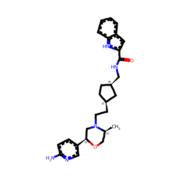 C[C@H]1CO[C@@H](c2ccc(N)nc2)CN1CC[C@H]1CC[C@@H](CNC(=O)c2cc3ccccc3[nH]2)C1